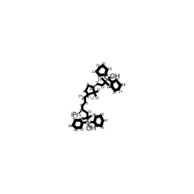 CC(C)[C@@H](CC[C@H](C)[C@@]1(C)CC[C@@H](CCC(C)(C)[Si](O)(c2ccccc2)c2ccccc2)C1(C)C)CC(C)(C)[Si](O)(c1ccccc1)c1ccccc1